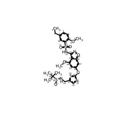 CCc1ccc(OC)c(S(=O)(=O)Nc2noc3cc(Oc4ncc(CN[S+]([O-])C(C)(C)C)s4)cc(OC)c23)c1